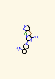 Nc1nc(N2CCC3(CCC[C@H]3N)CC2)cnc1Sc1ccnnc1Cl